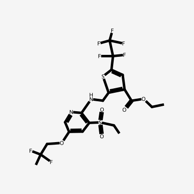 CCOC(=O)c1cc(C(F)(F)C(F)(F)F)sc1CNc1ncc(OCC(C)(F)F)cc1S(=O)(=O)CC